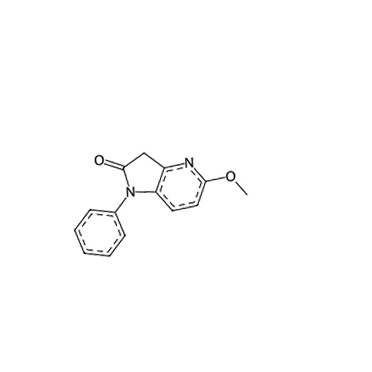 COc1ccc2c(n1)CC(=O)N2c1ccccc1